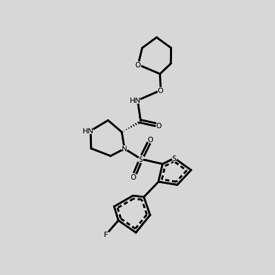 O=C(NOC1CCCCO1)[C@H]1CNCCN1S(=O)(=O)c1sccc1-c1ccc(F)cc1